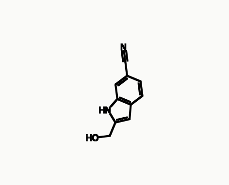 N#Cc1ccc2cc(CO)[nH]c2c1